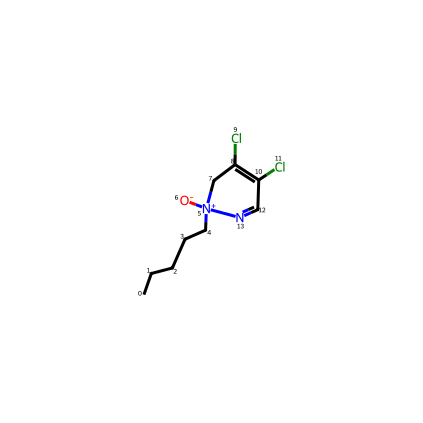 CCCCC[N+]1([O-])CC(Cl)=C(Cl)C=N1